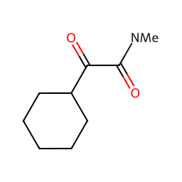 CNC(=O)C(=O)C1CCCCC1